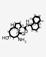 N[C@H]1C[C@H](O)CC[C@H]2CC[C@@H](C(=O)NC3CCCc4ccccc43)N2C1=O